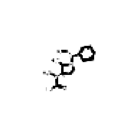 CC1[C@H](N(N)C(=O)O)CCN1[C@H](CO)c1ccccc1